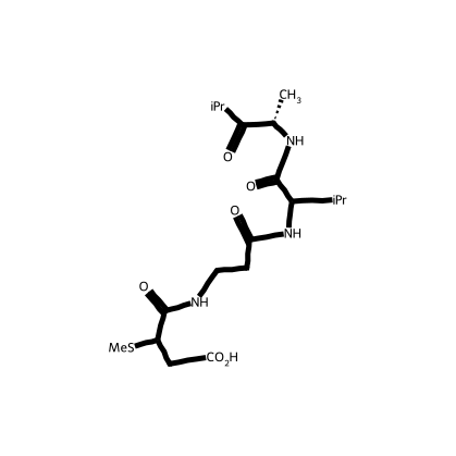 CSC(CC(=O)O)C(=O)NCCC(=O)NC(C(=O)N[C@@H](C)C(=O)C(C)C)C(C)C